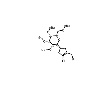 CCCCOC[C@H]1O[C@@H](c2cc(CBr)c(Cl)s2)[C@H](OCCCC)[C@@H](OCCCC)[C@@H]1OCCCC